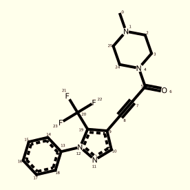 CN1CCN(C(=O)C#Cc2cnn(-c3ccccc3)c2C(F)(F)F)CC1